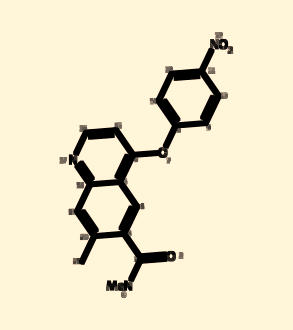 CNC(=O)c1cc2c(Oc3ccc([N+](=O)[O-])cc3)ccnc2cc1C